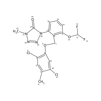 Cc1cc(Cl)c(OCc2c(OC(F)F)cccc2-n2nnn(C)c2=O)cc1Cl